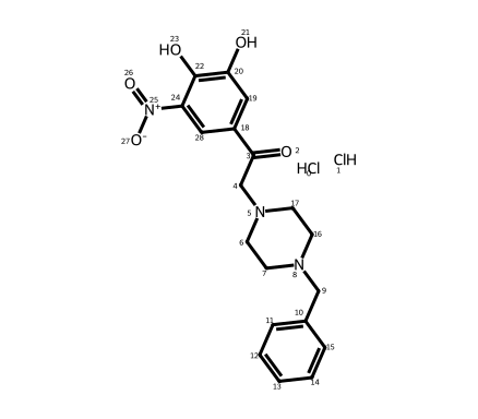 Cl.Cl.O=C(CN1CCN(Cc2ccccc2)CC1)c1cc(O)c(O)c([N+](=O)[O-])c1